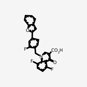 O=C(O)c1cn(Cc2ccc(-c3cc4ccccc4o3)cc2F)c2c(F)ccc(F)c2c1=O